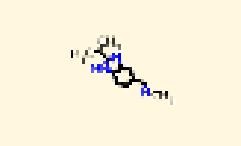 C/N=C/c1ccc2[nH]c(C(C)C)nc2c1